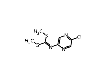 CSC(=Nc1cnc(Cl)cn1)SC